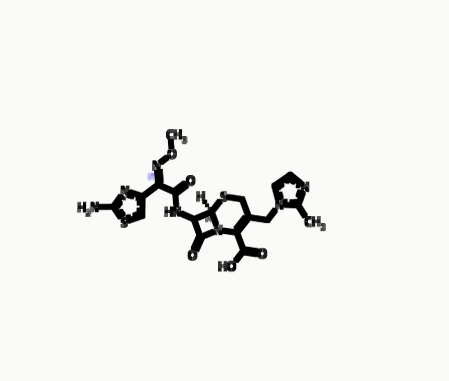 CO/N=C(\C(=O)NC1C(=O)N2C(C(=O)O)=C(Cn3ccnc3C)CS[C@H]12)c1csc(N)n1